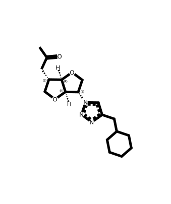 CC(=O)C[C@H]1CO[C@H]2[C@@H]1OC[C@@H]2n1cc(CC2CCCCC2)nn1